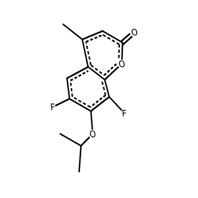 Cc1cc(=O)oc2c(F)c(OC(C)C)c(F)cc12